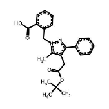 Cc1c(CC(=O)OC(C)(C)C)c(-c2ccccc2)nn1Cc1ccccc1C(=O)O